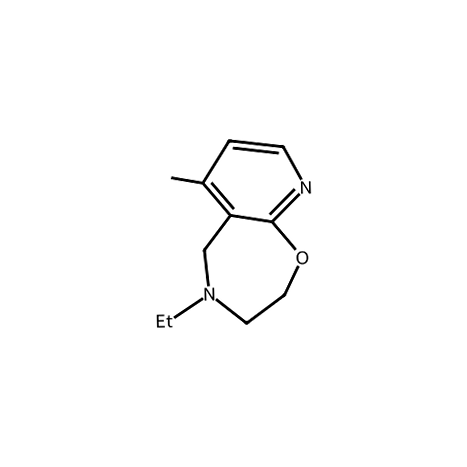 CCN1CCOc2nccc(C)c2C1